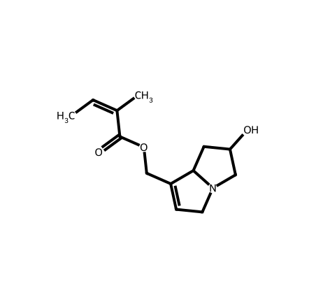 C/C=C(/C)C(=O)OCC1=CCN2CC(O)CC12